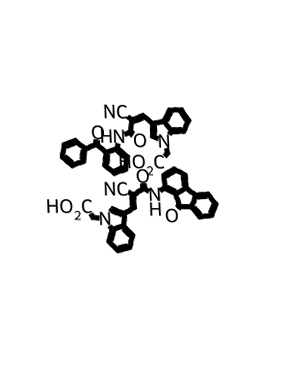 N#CC(=Cc1cn(CC(=O)O)c2ccccc12)C(=O)Nc1cccc2c1C(=O)c1ccccc1-2.N#CC(=Cc1cn(CC(=O)O)c2ccccc12)C(=O)Nc1ccccc1C(=O)c1ccccc1